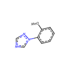 [CH2]Oc1ccccc1-n1cncn1